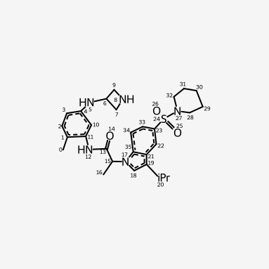 Cc1ccc(NC2CNC2)cc1NC(=O)C(C)n1cc(C(C)C)c2cc(S(=O)(=O)N3CCCCC3)ccc21